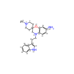 CC(C)N1CCC2(CC1)CN(CCc1c[nH]c3ccccc13)c1ccc(N)cc1O2